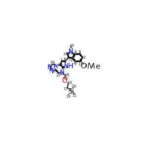 COc1ccc2c(c1)c(-c1cc3c([nH]1)N(COCC[Si](C)(C)C)C=C1N=NCN13)cn2C